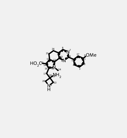 COc1cccc(-c2ncc3c(n2)-c2c(c(C(=O)O)c(CC4(N)CNC4)n2C)CC3)c1